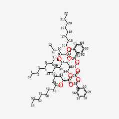 CCCCCCCCOC(CCC)=C(OCCCCCCCC)OC(OCOCOC(OC(OCCCCCCCC)=C(CCC)OCCCCCCCC)c1ccccc1)c1ccccc1